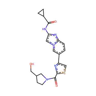 O=C(Nc1cn2cc(-c3csc(C(=O)N4CCC(CO)C4)n3)ccc2n1)C1CC1